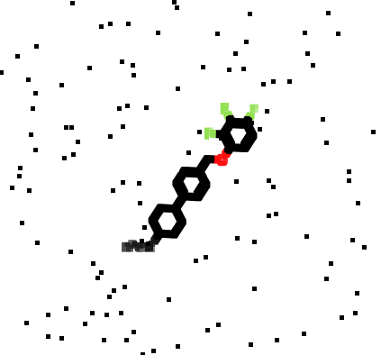 CCCCCC1CCC(c2ccc(COc3ccc(F)c(F)c3F)cc2)CC1